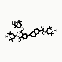 CC1(C)CC(OC(=O)c2ccc(C3CCC4CC(C(=O)OC5CC(C)(C)NC(C)(C)C5)CCC4C3)cc2C(=O)OC2CC(C)(C)NC(C)(C)C2)CC(C)(C)N1